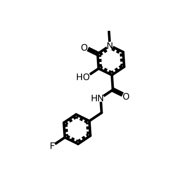 Cn1ccc(C(=O)NCc2ccc(F)cc2)c(O)c1=O